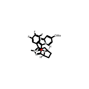 COc1ccn2c(C(=O)N3[C@@H]4CC[C@H]3c3nn(C)c(-c5cc(F)c(F)c(F)c5)c3C4)cnc2c1